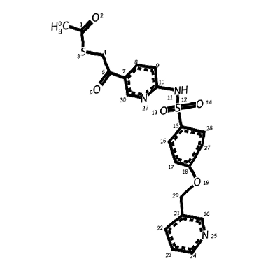 CC(=O)SCC(=O)c1ccc(NS(=O)(=O)c2ccc(OCc3cccnc3)cc2)nc1